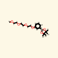 COCCOCCOCCOc1cccc(B2OC(C)(C)C(C)(C)O2)c1